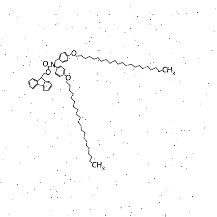 CCCCCCCCCCCCCCCCCCCCCCOc1ccc(CN(C(=O)OCC2c3ccccc3-c3ccccc32)c2ccc(OCCCCCCCCCCCCCCCCCCCCCC)cc2)cc1